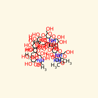 CC(=O)NC1C(O)[C@H](O)[C@H](CO)O[C@H]1OCCC1[C@@H](OCC2O[C@@H](O[C@@H]3C(CO)O[C@@H](O[C@@H]4C(CO)O[C@@H](C)C(NC(C)=O)[C@H]4O)C(NC(C)=O)[C@H]3O)C(O)[C@@H](O[C@H]3OC(CO)[C@@H](O)C(O)C3O[C@@H]3OC(CO)[C@@H](O[C@@H]4OC5[C@@H]([C@H](O)C4O)C5(O)O[C@]4(OC=O)C[C@@H](O)[C@@H](C)C([C@H](O)[C@H](O)CO)O4)[C@H](O)C3NC(C)=O)[C@@H]2O)OC(CO)[C@@H](O)[C@@H]1O